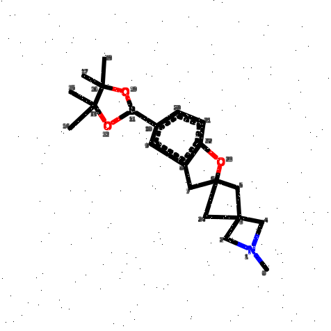 CN1CC2(C1)CC1(Cc3cc(B4OC(C)(C)C(C)(C)O4)ccc3O1)C2